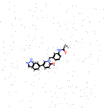 CC(=O)Nc1cccc(Cn2cc(-c3ccc4cn[nH]c4c3)ccc2=O)c1